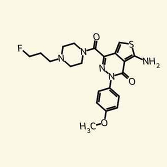 COc1ccc(-n2nc(C(=O)N3CCN(CCCF)CC3)c3csc(N)c3c2=O)cc1